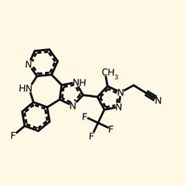 Cc1c(-c2nc3c([nH]2)-c2cccnc2Nc2cc(F)ccc2-3)c(C(F)(F)F)nn1CC#N